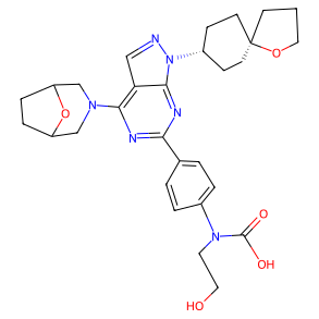 O=C(O)N(CCO)c1ccc(-c2nc(N3CC4CCC(C3)O4)c3cnn([C@H]4CC[C@@]5(CCCO5)CC4)c3n2)cc1